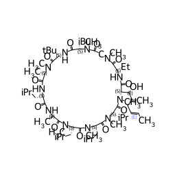 C/C=C/C[C@@H](C)[C@@H](O)[C@H]1C(=O)N[C@@H](CC)C(=O)N(C)CC(=O)N(C)[C@@H](C(C)CC)C(=O)N[C@@H](C(C)(C)C)C(=O)N(C)[C@@H](C)C(=O)N[C@@H](CC(C)C)C(=O)N[C@H](C)C(=O)N(C)[C@@H](CC(C)C)C(=O)N(C)[C@@H](CC(C)C)C(=O)N(C)[C@@H](C(C)C)C(=O)N1C